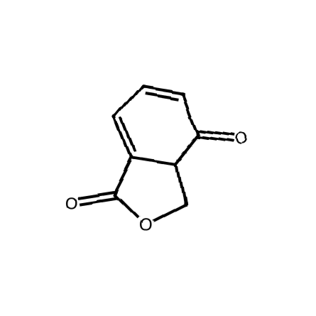 O=C1OCC2C(=O)C=CC=C12